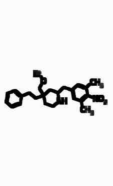 CCOCC1(CCc2ccccc2)CCNC(Cc2cc(C)c([N+](=O)[O-])c(C)c2)C1